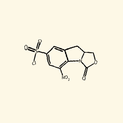 O=C1OCC2Cc3cc(S(=O)(=O)Cl)cc([N+](=O)[O-])c3N12